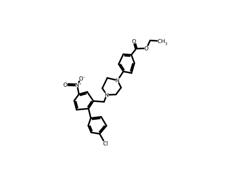 CCOC(=O)c1ccc(N2CCN(Cc3cc([N+](=O)[O-])ccc3-c3ccc(Cl)cc3)CC2)cc1